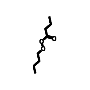 CCCCOOC(=O)CCC